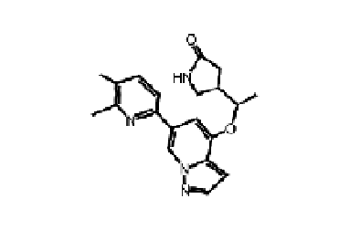 Cc1ccc(-c2cc(O[C@H](C)[C@H]3CNC(=O)C3)c3ccnn3c2)nc1C